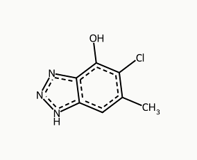 Cc1cc2[nH]nnc2c(O)c1Cl